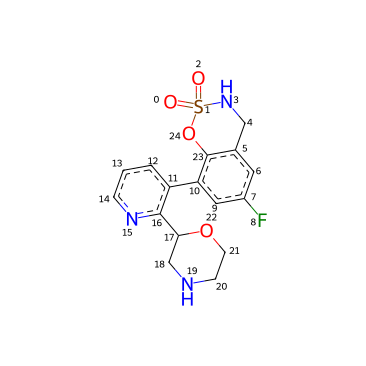 O=S1(=O)NCc2cc(F)cc(-c3cccnc3C3CNCCO3)c2O1